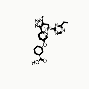 CCc1ncnc(NCc2c(-c3ccc(O[C@H]4CCC[C@H](C(=O)O)C4)cn3)nnn2C)n1